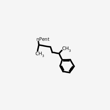 CCCCCC(C)CCC(C)c1ccccc1